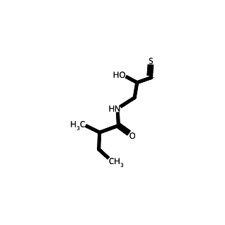 CCC(C)C(=O)NCC(O)[C]=S